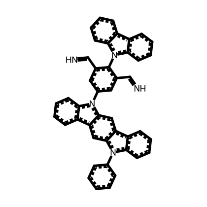 N=Cc1cc(-n2c3ccccc3c3cc4c(cc32)c2ccccc2n4-c2ccccc2)cc(C=N)c1-n1c2ccccc2c2ccccc21